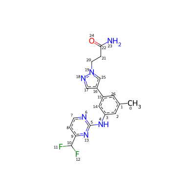 Cc1cc(Nc2nccc(C(F)F)n2)cc(-c2cnn(CCC(N)=O)c2)c1